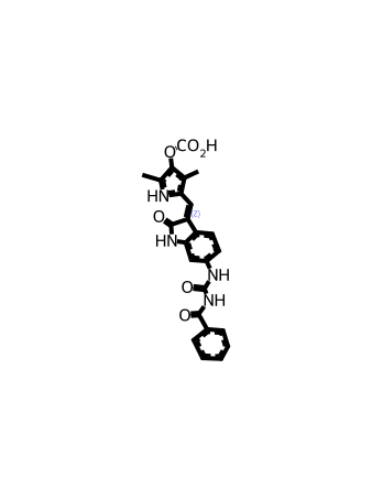 Cc1[nH]c(/C=C2\C(=O)Nc3cc(NC(=O)NC(=O)c4ccccc4)ccc32)c(C)c1OC(=O)O